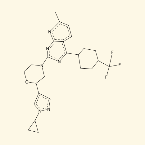 Cc1ccc2c(C3CCC(C(F)(F)F)CC3)nc(N3CCOC(c4cnn(C5CC5)c4)C3)nc2n1